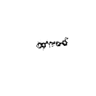 COc1cccc(-c2csc(NC(=O)CNC(=O)c3cc(F)c4c(c3)[C@](C)(O)COC4)n2)c1